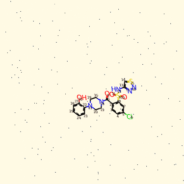 O=C(c1ccc(Cl)cc1S(=O)(=O)Nc1csnn1)N1CCN(c2ccccc2O)CC1